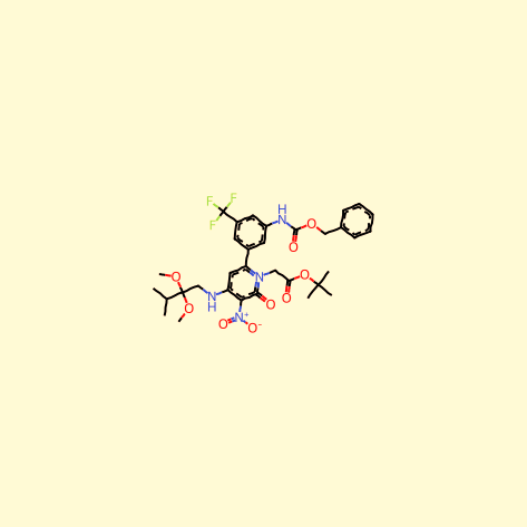 COC(CNc1cc(-c2cc(NC(=O)OCc3ccccc3)cc(C(F)(F)F)c2)n(CC(=O)OC(C)(C)C)c(=O)c1[N+](=O)[O-])(OC)C(C)C